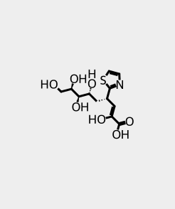 O=C(O)/C(O)=C/[C@H](C[C@@H](O)[C@@H](O)[C@H](O)CO)c1nccs1